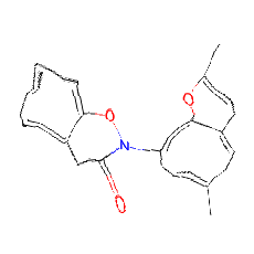 Cc1cc(N2Oc3ccccc3CC2=O)c2oc(C)cc2c1